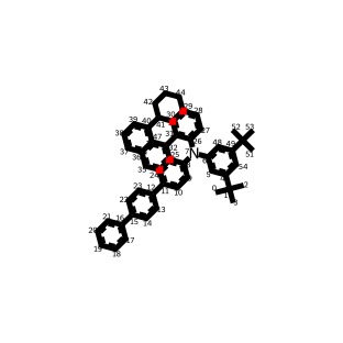 CC(C)(C)c1cc(N(c2ccc(-c3ccc(-c4ccccc4)cc3)cc2)c2ccccc2-c2cccc3cccc(C4CCCCC4)c23)cc(C(C)(C)C)c1